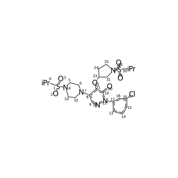 CC(C)S(=O)(=O)N1CCN(c2cnn(-c3cccc(Cl)c3)c(=O)c2OC2CCN(S(=O)(=O)C(C)C)C2)CC1